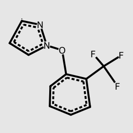 FC(F)(F)c1ccccc1On1cc[c]n1